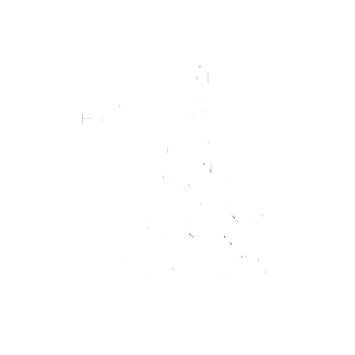 COc1ccc(CN2C[C@@H](C(=O)N3C(=O)OC[C@H]3Cc3ccccc3)CC2=O)c(OC)c1